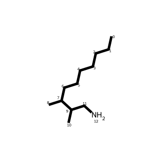 CCCCCCCC(C)C(C)CN